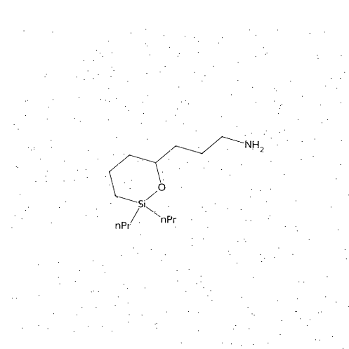 CCC[Si]1(CCC)CCCC(CCCN)O1